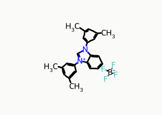 Cc1cc(C)cc(-n2c[n+](-c3cc(C)cc(C)c3)c3ccccc32)c1.F[B-](F)(F)F